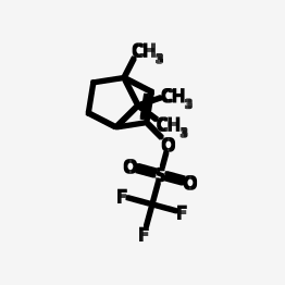 CC12C=C(OS(=O)(=O)C(F)(F)F)C(CC1)C2(C)C